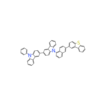 c1ccc(-n2c3ccccc3c3cc(-c4ccc5c(c4)c4ccccc4n5-c4cccc5cc(-c6ccc7sc8ccccc8c7c6)ccc45)ccc32)cc1